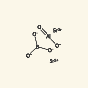 [O-]B([O-])[O-].[O]=[Al][O-].[Sr+2].[Sr+2]